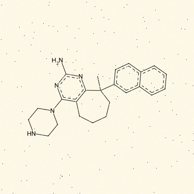 CC1(c2ccc3ccccc3c2)CCCCc2c(N3CCNCC3)nc(N)nc21